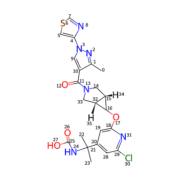 Cc1nn(-c2cscn2)cc1C(=O)N1C[C@@H]2C(Oc3cc(C(C)(C)NC(=O)O)cc(Cl)n3)[C@@H]2C1